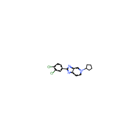 Clc1ccc(-c2nc3ccn(C4CCCC4)cc-3n2)cc1Cl